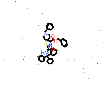 O=C(OCc1ccccc1)C1N2C(=O)C(NC(c3ccccc3)(c3ccccc3)c3ccccc3)C2SC12CCN(Cc1ccccc1)CC2